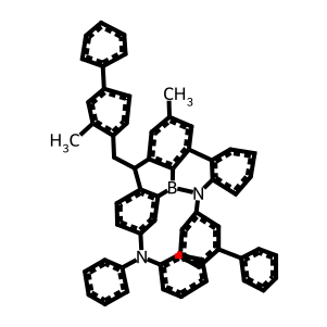 Cc1cc2c3c(c1)C(Cc1ccc(-c4ccccc4)cc1C)c1ccc(N(c4ccccc4)c4ccccc4)cc1B3N(c1cccc(-c3ccccc3)c1)c1ccccc1-2